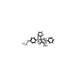 COc1ccc(S(=O)(=O)[C@@](NCc2cccnc2)(C(=O)NO)C2CCCO2)cc1